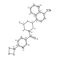 CC1CC(c2ccc(C#N)c3ncccc23)CN(C(=O)c2ccc(N3CCC3)nc2)C1